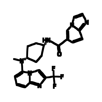 CN(c1cccc2nc(C(F)(F)F)cn12)[C@H]1CC[C@@H](NC(=O)c2ccc3nccn3c2)CC1